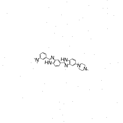 CN1CCN(c2ccc3[nH]c(-c4ccc5[nH]c(-c6cccc(N(C)C)c6)nc5c4)nc3c2)CC1